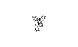 O=C(c1cccc(F)c1)N1CCCc2cc([Se]c3ccccc3)c(-c3ccc(F)cc3)nc21